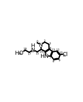 CN1CCc2c([nH]c3ccc(Cl)cc23)C1CNCCO